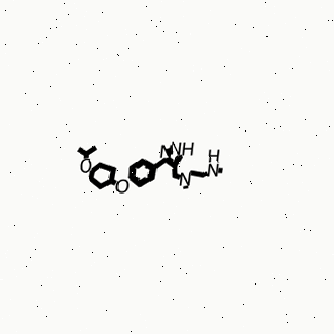 CNCCN(C)Cc1c[nH]nc1-c1ccc(OC2CCC(OC(C)C)CC2)cc1